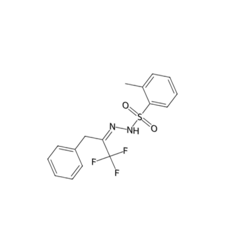 Cc1ccccc1S(=O)(=O)NN=C(Cc1ccccc1)C(F)(F)F